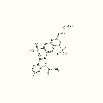 Cc1ccc(N=Nc2cc3c(S(=O)(=O)O)cc(SOOO)cc3cc2S(=O)(=O)O)c(NC(N)=O)c1